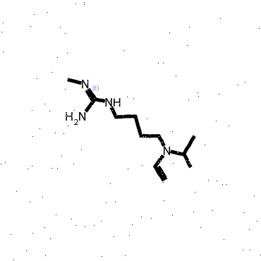 C=CN(CCCCN/C(N)=N/C)C(C)C